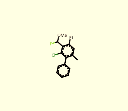 CCc1cc(C)c(-c2ccccc2)c(Cl)c1[C](F)OC